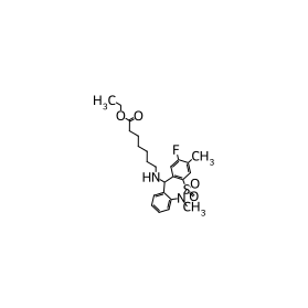 CCOC(=O)CCCCCCNC1c2ccccc2N(C)S(=O)(=O)c2cc(C)c(F)cc21